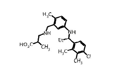 CC[C@@H](Nc1ccc(C)c(CNCC(C)C(=O)O)c1)c1ccc(Cl)c(C)c1C